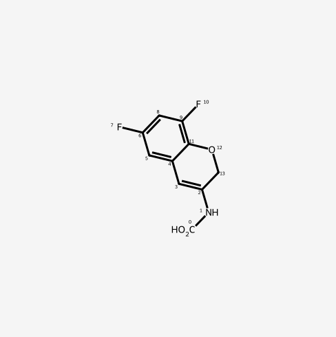 O=C(O)NC1=Cc2cc(F)cc(F)c2OC1